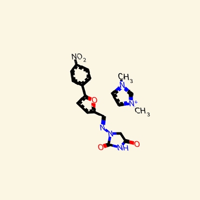 Cn1cc[n+](C)c1.O=C1CN(N=Cc2ccc(-c3ccc([N+](=O)[O-])cc3)o2)C(=O)N1